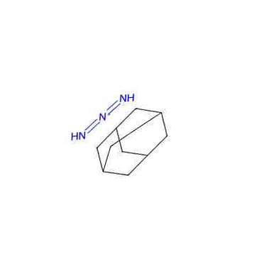 C1C2CC3CC1CC(C2)C3.N=[N+]=N